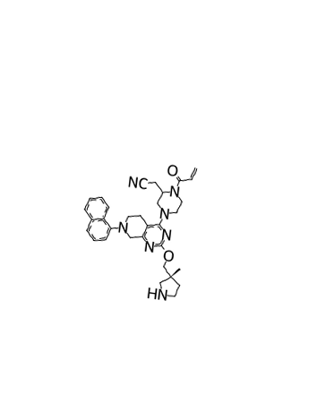 C=CC(=O)N1CCN(c2nc(OC[C@]3(C)CCNC3)nc3c2CCN(c2cccc4ccccc24)C3)CC1CC#N